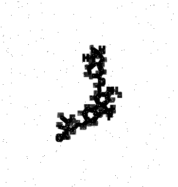 C=C(/C=C1/C[C@H]2C[C@H]2/C1=C/C)OCc1cc(-c2ccc(CCCC(C)(N=O)C(C)F)cc2)c(C(F)(F)F)cc1P